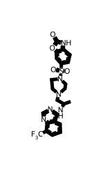 CC(CN1CCN(S(=O)(=O)c2ccc3[nH]c(=O)oc3c2)CC1)Nc1ncnc2c(C(F)(F)F)cccc12